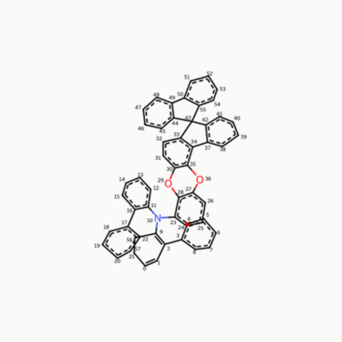 C1=CC(c2ccccc2)=C(N(c2ccccc2-c2ccccc2)c2cccc3c2Oc2ccc4c(c2O3)-c2ccccc2C42c3ccccc3-c3ccccc32)CC1